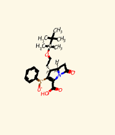 CC(C)(C)[Si](C)(C)OCC[C@H]1C([S+]([O-])c2ccccc2)=C(C(=O)O)N2C(=O)C[C@H]12